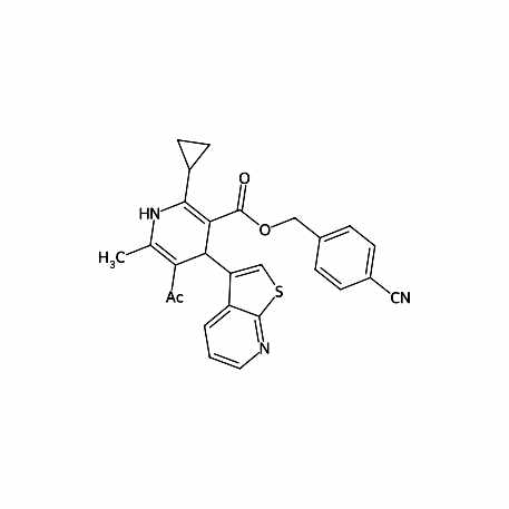 CC(=O)C1=C(C)NC(C2CC2)=C(C(=O)OCc2ccc(C#N)cc2)C1c1csc2ncccc12